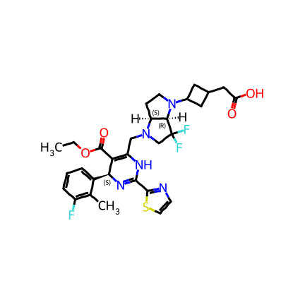 CCOC(=O)C1=C(CN2CC(F)(F)[C@H]3[C@@H]2CCN3C2CC(CC(=O)O)C2)NC(c2nccs2)=N[C@H]1c1cccc(F)c1C